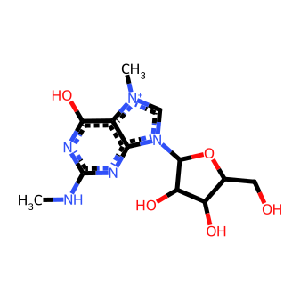 CNc1nc(O)c2c(n1)n(C1OC(CO)C(O)C1O)c[n+]2C